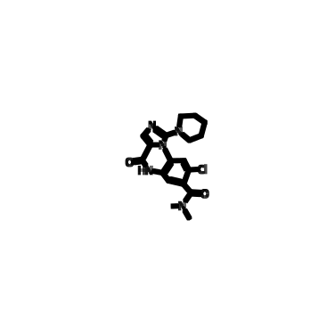 CN(C)C(=O)c1cc2[nH]c(=O)c3cnc(N4CCCCC4)n3c2cc1Cl